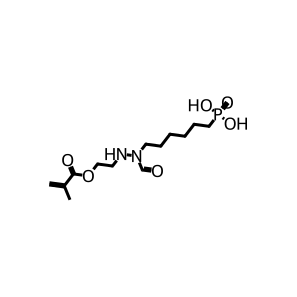 C=C(C)C(=O)OCCNN(C=O)CCCCCCP(=O)(O)O